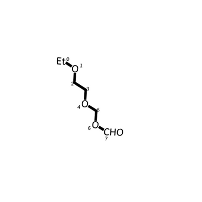 CCOCCOCOC=O